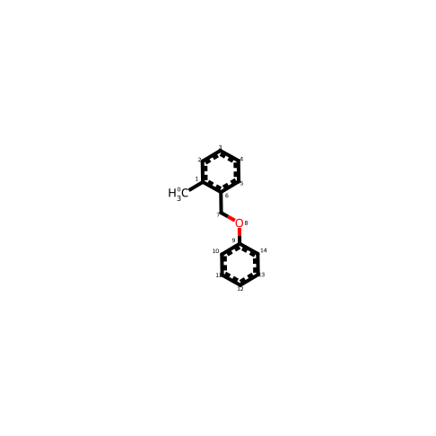 Cc1ccccc1COc1ccccc1